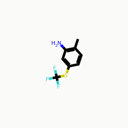 Cc1ccc(SC(F)(F)F)cc1N